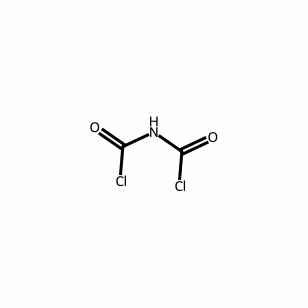 O=C(Cl)NC(=O)Cl